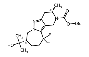 C[C@@H]1Cc2nn3c(c2CN1C(=O)OC(C)(C)C)C(F)(F)CC[C@H](C(C)(C)O)C3